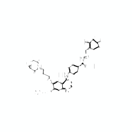 COc1cc2ncnc(Nc3ccc(C(C)=NOCc4ccc(Cl)cc4Cl)cc3)c2cc1OCCCN1CCOCC1